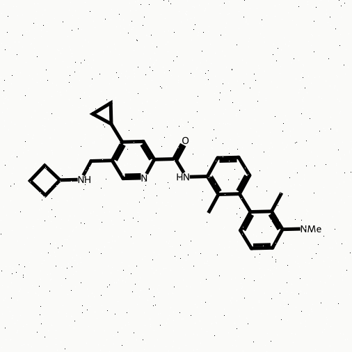 CNc1cccc(-c2cccc(NC(=O)c3cc(C4CC4)c(CNC4CCC4)cn3)c2C)c1C